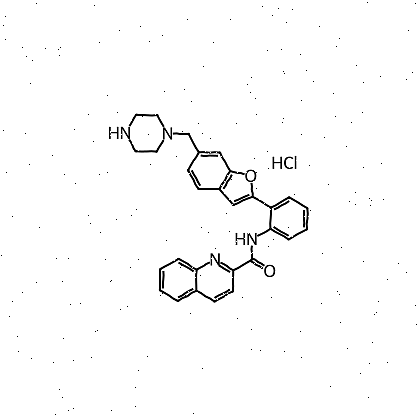 Cl.O=C(Nc1ccccc1-c1cc2ccc(CN3CCNCC3)cc2o1)c1ccc2ccccc2n1